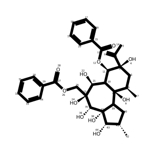 C=C(C)[C@]1(O)C[C@@H](C)[C@@]2(O)C([C@H]1OC(=O)c1ccccc1)[C@H](O)[C@@](O)(COC(=O)c1ccccc1)[C@@H](O)[C@@]1(O)C2C[C@H](C)[C@@H]1O